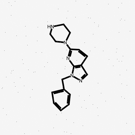 c1ccc(Cn2ncc3ccc(N4CCNCC4)nc32)cc1